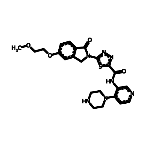 COCCOc1ccc2c(c1)CN(c1nnc(C(=O)Nc3cnccc3N3CCNCC3)s1)C2=O